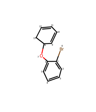 Brc1ccccc1OC1C=CC=CC1